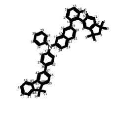 CC1(C)CC(C)(C)c2cc3c(cc21)sc1cccc(-c2ccc4ccc(N(c5ccccc5)c5ccc(-c6ccc7c(c6)-c6ccccc6C7(C)C)cc5)cc4c2)c13